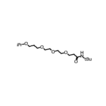 CC(C)OCCCOCCOCCOCCC(=O)NC(C)(C)C